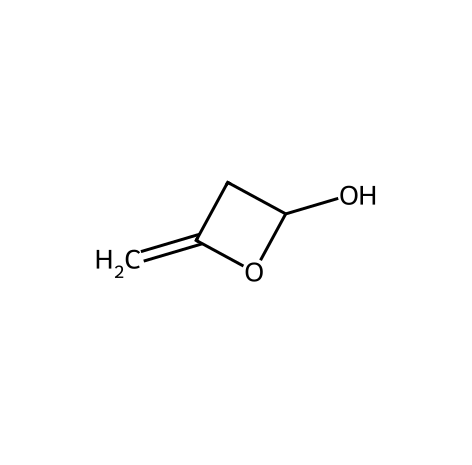 C=C1CC(O)O1